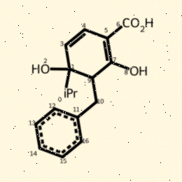 CC(C)C1(O)C=CC(C(=O)O)=C(O)C1Cc1ccccc1